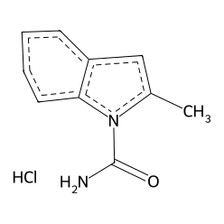 Cc1cc2ccccc2n1C(N)=O.Cl